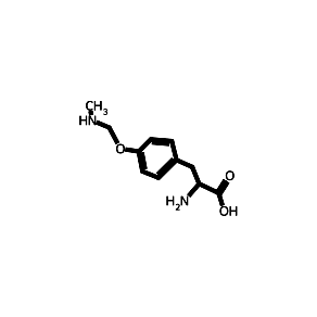 CNCOc1ccc(CC(N)C(=O)O)cc1